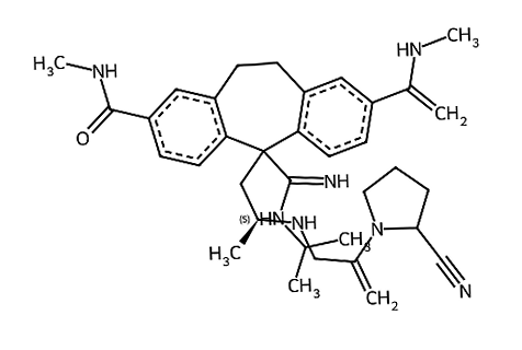 C=C(NC)c1ccc2c(c1)CCc1cc(C(=O)NC)ccc1C2(C[C@H](C)NCC(=C)N1CCCC1C#N)C(=N)NC(C)C